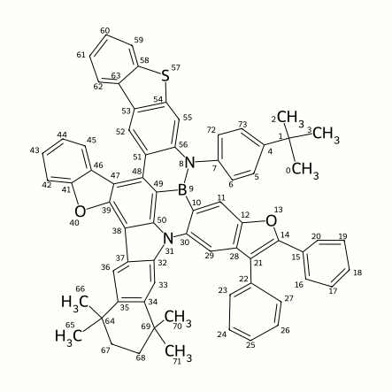 CC(C)(C)c1ccc(N2B3c4cc5oc(-c6ccccc6)c(-c6ccccc6)c5cc4-n4c5cc6c(cc5c5c7oc8ccccc8c7c(c3c54)-c3cc4c(cc32)sc2ccccc24)C(C)(C)CCC6(C)C)cc1